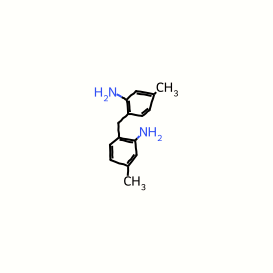 Cc1ccc(Cc2ccc(C)cc2N)c(N)c1